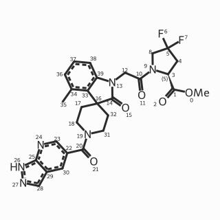 COC(=O)[C@@H]1CC(F)(F)CN1C(=O)CN1C(=O)C2(CCN(C(=O)c3cnc4[nH]ncc4c3)CC2)c2c(C)cccc21